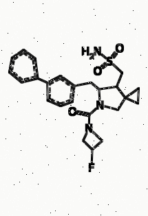 NS(=O)(=O)CC1C(Cc2cccc(-c3ccccc3)c2)N(C(=O)N2CC(F)C2)CC12CC2